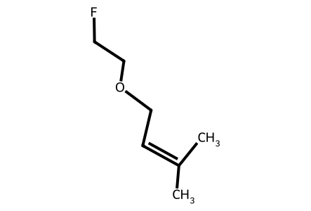 CC(C)=CCOCCF